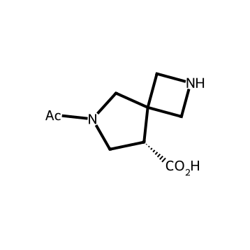 CC(=O)N1C[C@@H](C(=O)O)C2(CNC2)C1